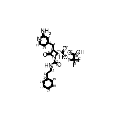 Nc1cc(CC2C(=O)N(C(=O)NCCc3ccccc3)[C@H]2C(=O)O)ccn1.O=C(O)C(F)(F)F